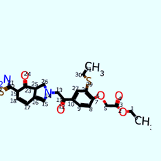 CCOC(=O)COc1ccc(C(=O)CN2C=C3C=CC(C(N)=S)C(=O)C3C2)cc1SCC